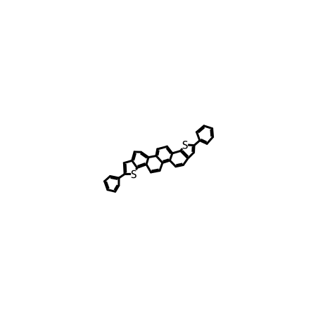 c1ccc(-c2cc3ccc4c5ccc6c(ccc7cc(-c8ccccc8)sc76)c5ccc4c3s2)cc1